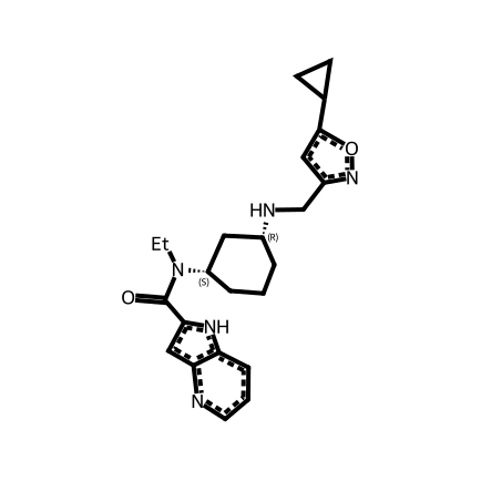 CCN(C(=O)c1cc2ncccc2[nH]1)[C@H]1CCC[C@@H](NCc2cc(C3CC3)on2)C1